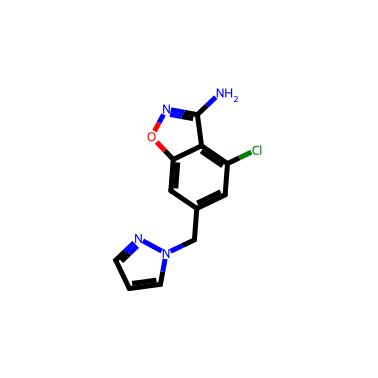 Nc1noc2cc(Cn3cccn3)cc(Cl)c12